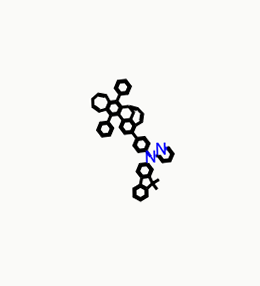 CC1(C)c2ccccc2-c2ccc(N(c3ccc(-c4ccc5c6c4C=CC=C(C6)c4c(-c6ccccc6)c6c(c(-c7ccccc7)c4-5)C=CCC=C6)cc3)c3ccccn3)cc21